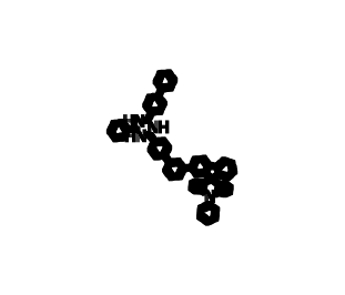 c1ccc(-c2ccc(C3NC(c4ccccc4)NC(c4ccc(-c5cccc(-c6ccc7c(c6)C6(c8ccccc8-7)c7ccccc7N(c7ccccc7)c7ccccc76)c5)cc4)N3)cc2)cc1